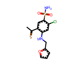 CC(=S)c1cc(S(N)(=O)=O)c(Cl)cc1NCc1ccco1